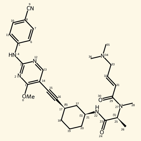 COc1nc(Nc2ccc(C#N)cc2)ncc1C#C[C@@H]1CCC[C@H](NC(=O)[C@H](C)N(C)C(=O)C=CCN(C)C)C1